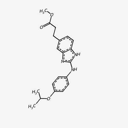 COC(=O)CCc1ccc2[nH]c(Nc3ccc(OC(C)C)cc3)nc2c1